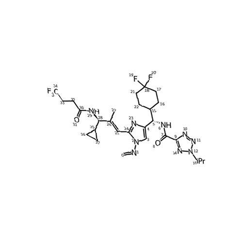 C=Nn1cc([C@@H](NC(=O)c2nnn(C(C)C)n2)C2CCC(F)(F)CC2)nc1/C=C(\C)[C@H](NC(=O)CCC(F)(F)F)C1CC1